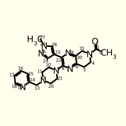 CC(=O)N1CCc2nc(N3CCN(Cc4ccccn4)CC3)c(-c3cnn(C)c3)nc2C1